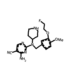 COc1ccc(CN(c2ncc(C#N)c(N)n2)C2CCNCC2)cc1OCCF